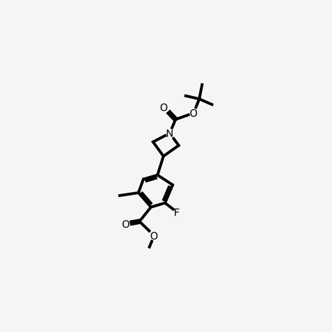 COC(=O)c1c(C)cc(C2CN(C(=O)OC(C)(C)C)C2)cc1F